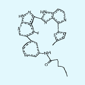 CCCCC(=O)Nc1cncc(-c2cnc3[nH]nc(-c4nc5c(-c6ccc(C)s6)nccc5[nH]4)c3c2F)c1